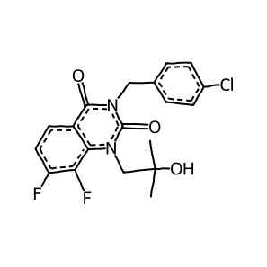 CC(C)(O)Cn1c(=O)n(Cc2ccc(Cl)cc2)c(=O)c2ccc(F)c(F)c21